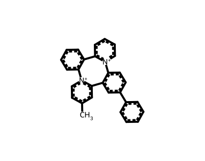 Cc1cc[n+]2c(c1)-c1cc(-c3ccccc3)ccc1-[n+]1ccccc1-c1ccccc1-2